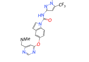 CCn1nc(NC(=O)n2ccc3cc(Oc4cc(CNC)ncn4)ccc32)cc1C(F)(F)F